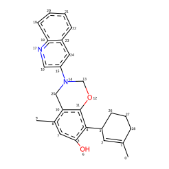 CC1=CC(c2c(O)cc(C)c3c2OCN(c2cnc4ccccc4c2)C3)CCC1